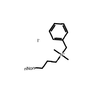 CCCCCCCCCCCC[N+](C)(C)Cc1ccccc1.[I-]